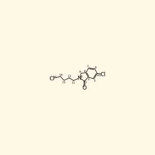 O=C1c2cc(Cl)ccc2CN1CCCCCl